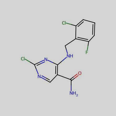 NC(=O)c1cnc(Cl)nc1NCc1c(F)cccc1Cl